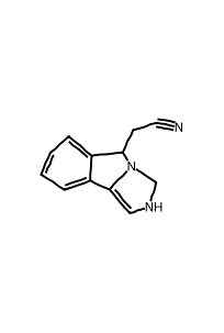 N#CCC1c2ccccc2C2=CNCN21